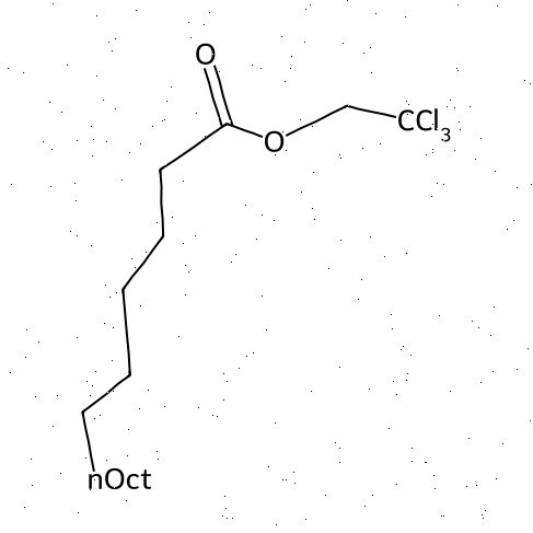 CCCCCCCCCCCCCC(=O)OCC(Cl)(Cl)Cl